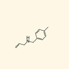 C=CCNCc1ccc(C)cc1